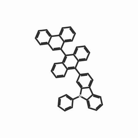 c1ccc(-n2c3ccccc3c3ccc(-c4c5ccccc5c(-c5cc6ccccc6c6ccccc56)c5ccccc45)cc32)cc1